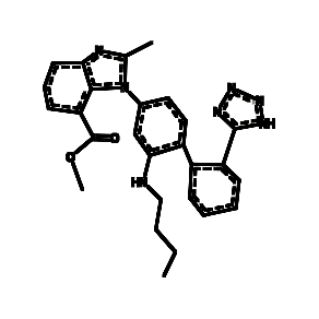 CCCCNc1cc(-n2c(C)nc3cccc(C(=O)OC)c32)ccc1-c1ccccc1-c1nnn[nH]1